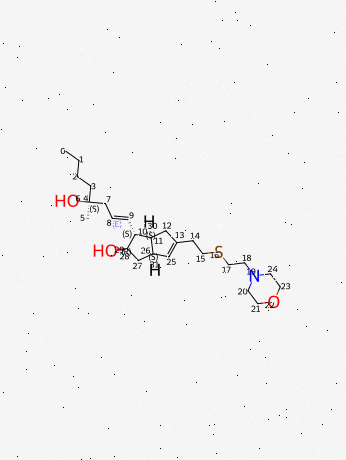 CCCC[C@](C)(O)C/C=C/[C@@H]1[C@H]2CC(CCSCCN3CCOCC3)=C[C@H]2C[C@H]1O